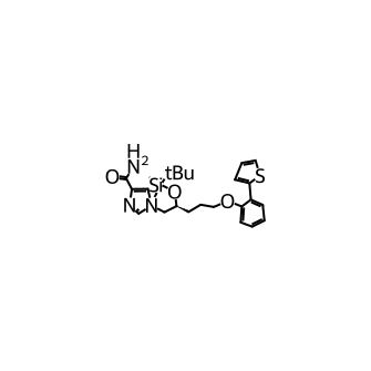 CC(C)(C)[Si](C)(C)O[C@@H](CCCOc1ccccc1-c1cccs1)Cn1cnc(C(N)=O)c1